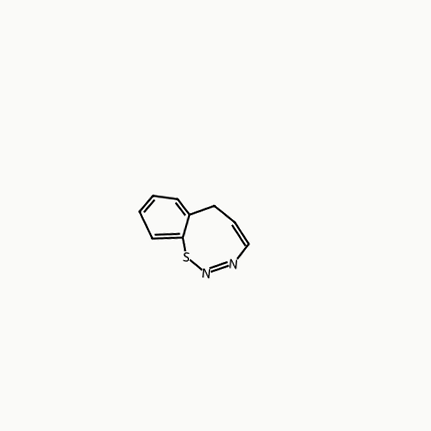 C1=C\N=N/Sc2ccccc2C/1